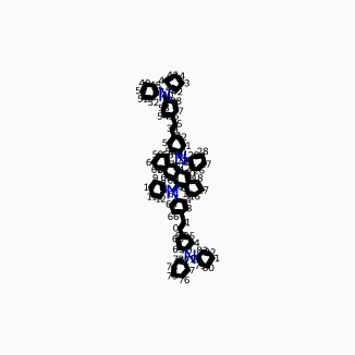 C(=Cc1ccc(N(c2ccccc2)c2c3ccccc3cc3c(N(c4ccccc4)c4ccc(C=Cc5ccc(N(c6ccccc6)c6ccccc6)cc5)cc4)c4ccccc4cc23)cc1)c1ccc(N(c2ccccc2)c2ccccc2)cc1